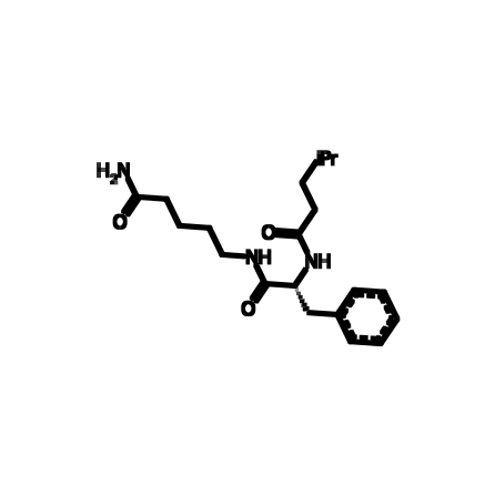 CC(C)CCC(=O)N[C@H](Cc1ccccc1)C(=O)NCCCCC(N)=O